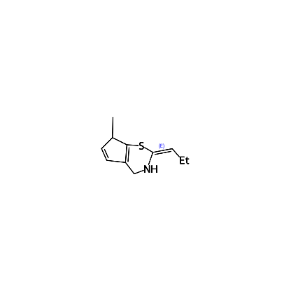 CC/C=C1\NCC2=C(S1)C(C)C=C2